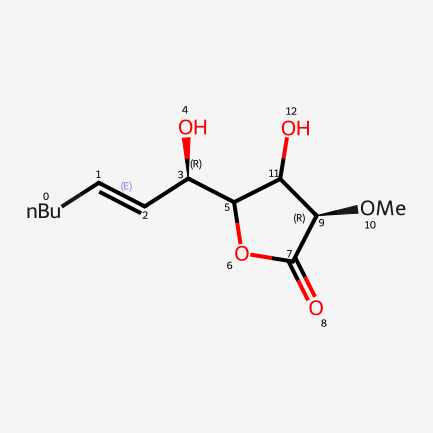 CCCC/C=C/[C@@H](O)C1OC(=O)[C@H](OC)C1O